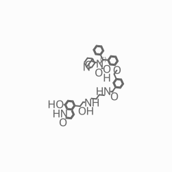 O=C(NCCCCNCC(O)c1ccc(O)c2[nH]c(=O)ccc12)c1cccc(COc2cccc([C@H](c3ccccc3)N(C(=O)O)C3CN4CCC3CC4)c2)c1